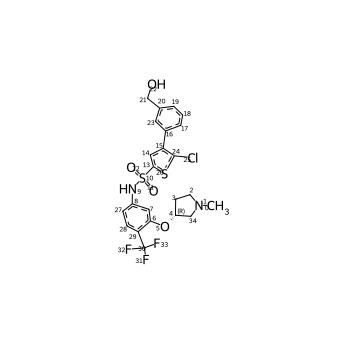 CN1CC[C@@H](Oc2cc(NS(=O)(=O)c3cc(-c4cccc(CO)c4)c(Cl)s3)ccc2C(F)(F)F)C1